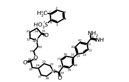 Cc1ccccc1S(=O)(=O)O.N=C(N)c1ccc(-c2ccc(C(=O)N3CCC(CC(=O)OCCN4CCCC4=O)CC3)cc2)cc1